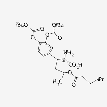 CC(C)CCC(=O)OC(C)CC(c1ccc(OC(=O)OCC(C)C)c(OC(=O)OCC(C)C)c1)[C@H](N)C(=O)O